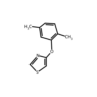 Cc1ccc(C)c(Oc2cs[c]n2)c1